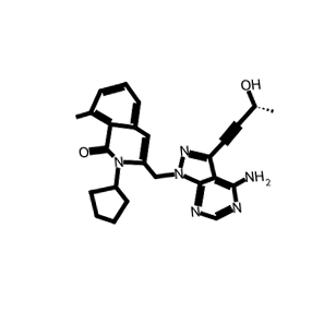 Cc1cccc2cc(Cn3nc(C#C[C@@H](C)O)c4c(N)ncnc43)n(C3CCCC3)c(=O)c12